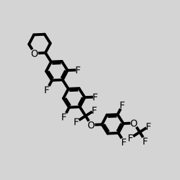 Fc1cc(OC(F)(F)c2c(F)cc(-c3c(F)cc(C4CCCCO4)cc3F)cc2F)cc(F)c1OC(F)(F)F